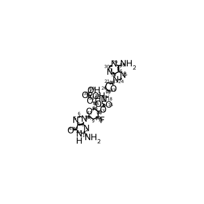 Nc1nc2c(ncn2[C@H]2C[C@@H](F)[C@H](OS(=O)(=O)NC[C@@H]3CC[C@H](n4cnc5c(N)ncnc54)O3)[C@@H](COP(=O)(O)O)O2)c(=O)[nH]1